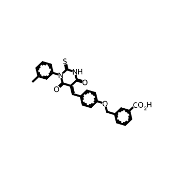 Cc1cccc(N2C(=O)/C(=C/c3ccc(OCc4cccc(C(=O)O)c4)cc3)C(=O)NC2=S)c1